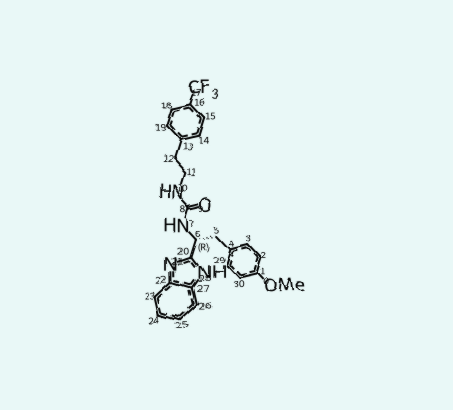 COc1ccc(C[C@@H](NC(=O)NCCc2ccc(C(F)(F)F)cc2)c2nc3ccccc3[nH]2)cc1